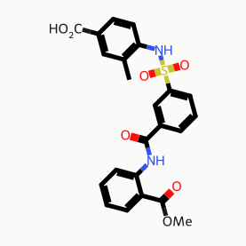 COC(=O)c1ccccc1NC(=O)c1cccc(S(=O)(=O)Nc2ccc(C(=O)O)cc2C)c1